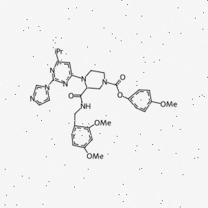 COc1ccc(OC(=O)N2CCN(c3cc(C(C)C)nc(-n4ccnc4)n3)C(C(=O)NCc3ccc(OC)cc3OC)C2)cc1